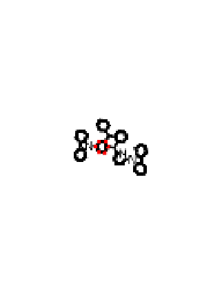 c1ccc(C23c4ccccc4C(c4cccc(-n5c6ccccc6c6ccccc65)n4)(c4ccccc42)c2ccc(-n4c5ccccc5c5ccccc54)cc23)cc1